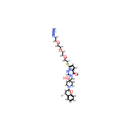 C[C@H](CC(=O)N1CCC(O)(Cn2cnn3c(SCCOCCOCCOCCN=[N+]=[N-])ccc3c2=O)CC1)c1ccccc1